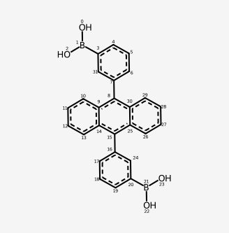 OB(O)c1cccc(-c2c3ccccc3c(-c3cccc(B(O)O)c3)c3ccccc23)c1